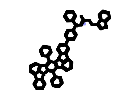 C/C(=C\N(c1ccccc1)c1ccc(-c2ccc3c(c2)c2cccc4c5c(-c6ccccc6)c6c(c(-c7ccccc7)c5n3c24)c2cccc3c4ccccc4n6c32)cc1)CCc1coc2ccccc12